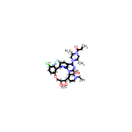 C=CC(=O)N1C[C@H](C)N(C2=NC(O)N3C4=C(C=CN(CC(C)C)[C@@H]4C)C(OCC)C(O)COc4ccc(Cl)c(F)c4-c4nc3c2cc4F)C[C@H]1C